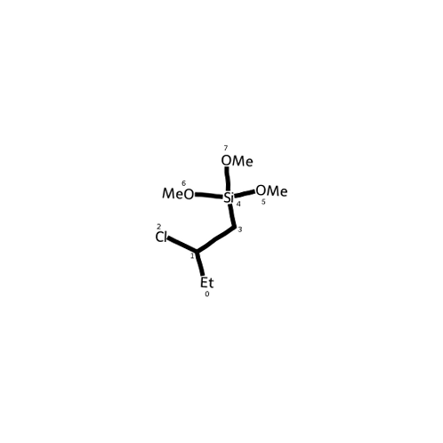 CCC(Cl)C[Si](OC)(OC)OC